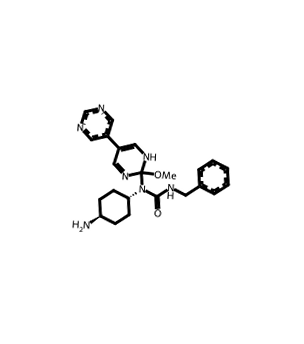 COC1(N(C(=O)NCc2ccccc2)[C@H]2CC[C@H](N)CC2)N=CC(c2cncnc2)=CN1